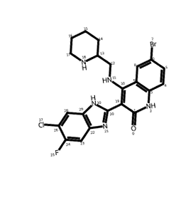 O=c1[nH]c2ccc(Br)cc2c(NCC2CCCCN2)c1-c1nc2cc(F)c(Cl)cc2[nH]1